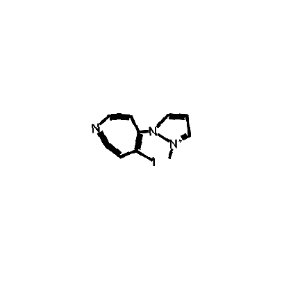 C[n+]1cccn1C1=C(I)C=C=NC=C1